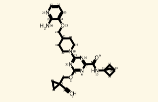 C#CC1(COc2nc(C(=O)NC34CC(C3)C4)nc(N3CCC(COc4cccnc4N)CC3)n2)CC1